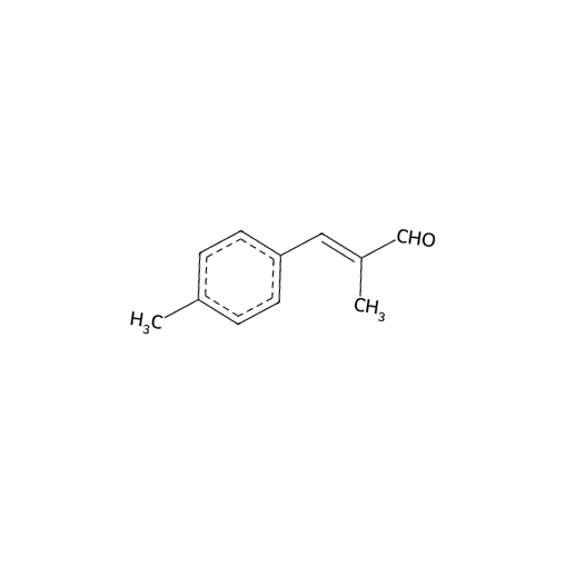 CC(C=O)=Cc1ccc(C)cc1